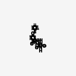 CC1(Cn2[nH]c3cc(OCc4ccccc4)ccc3c2=O)NC(=O)NC1=O